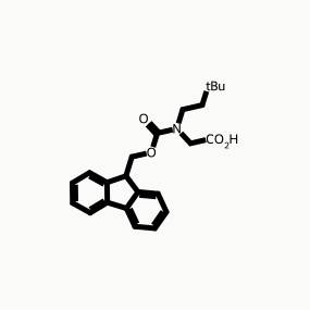 CC(C)(C)CCN(CC(=O)O)C(=O)OCC1c2ccccc2-c2ccccc21